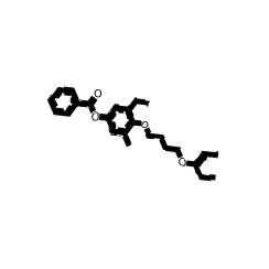 CC=C(CC)OCCCCOc1c(C)cc(OC(=O)c2ccccc2)cc1CC